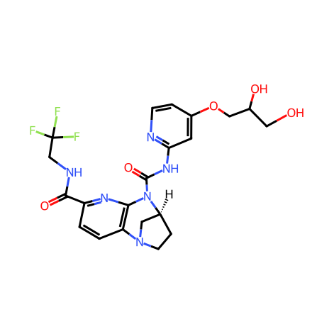 O=C(NCC(F)(F)F)c1ccc2c(n1)N(C(=O)Nc1cc(OCC(O)CO)ccn1)[C@H]1CCN2C1